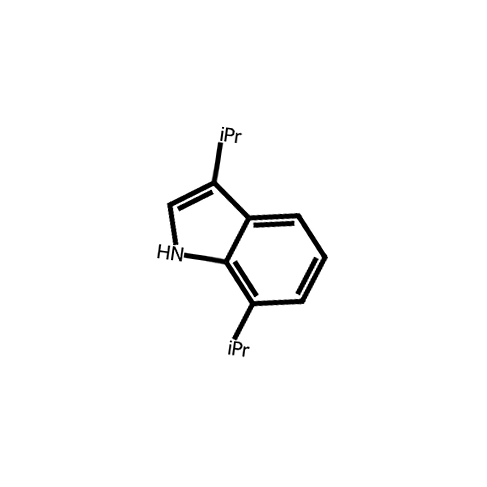 CC(C)c1c[nH]c2c(C(C)C)cccc12